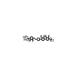 CCCC(O)c1ccc(CCC2CC=C(c3ccc(-c4ccc(OCC)c(F)c4F)c(F)c3F)CC2)c(F)c1F